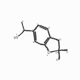 CC(S)c1ccc2c(c1)OC(C)(C)C2